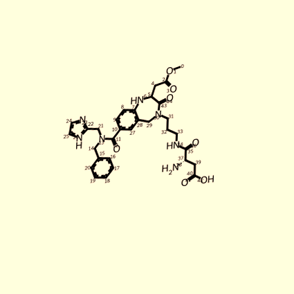 COC(=O)CC1Nc2ccc(C(=O)N(Cc3ccccc3)Cc3ncc[nH]3)cc2CN(CCCNC(=O)[C@@H](N)CC(=O)O)C1=O